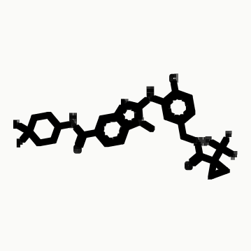 Cn1c(Nc2cc(CNC(=O)C3(C(F)(F)F)CC3)ccc2Cl)nc2cc(C(=O)NC3CCC(F)(F)CC3)ccc21